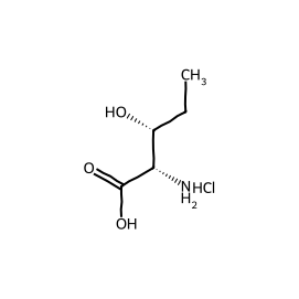 CC[C@@H](O)[C@H](N)C(=O)O.Cl